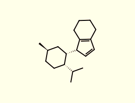 CC(C)[C@@H]1CC[C@@H](C)C[C@@H]1C1C=CC2=C1CCCC2